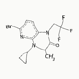 CC1C(=O)N(CC(F)(F)F)c2ccc(Br)nc2N1C1CC1